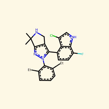 CCc1cccc(CC)c1-n1nc2c(c1-c1ccc(F)c3[nH]cc(Cl)c13)CNC2(C)C